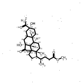 COC(=O)CC[C@@H](C)[C@H]1CC[C@H]2[C@H]3[C@H](CC[C@]12C)[C@@]1(C)CC[C@](O)(C(C)=O)CC1C[C@]3(O)C(C)=O